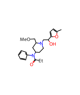 CCC(=O)N(c1ccccc1)C1CCN(CC(O)c2ccc(C)o2)C(COC)C1